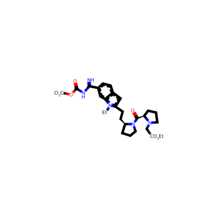 CCOC(=O)CN1CCC[C@@H]1C(=O)N1CCC[C@H]1CCc1cc2ccc(C(=N)NC(=O)OC(Cl)(Cl)Cl)cc2n1CC